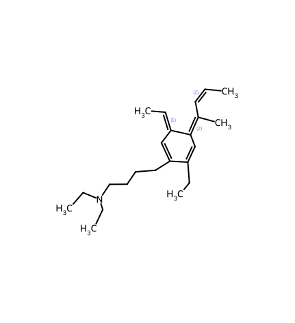 C\C=C/C(C)=c1/cc(CC)c(CCCCN(CC)CC)c/c1=C\C